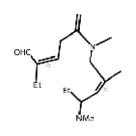 C=C(C/C=C(\C=O)CC)N(C)C/C(C)=C\C(CC)NC